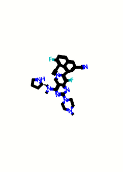 C#Cc1c(F)ccc2cc(C#N)cc(-c3ncc4c(N(C)C[C@@H]5CCCN5)nc(N5CCN(C)CC5)nc4c3F)c12